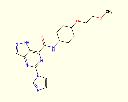 COCCOC1CCC(NC(=O)c2nc(-n3ccnc3)nc3cn[nH]c23)CC1